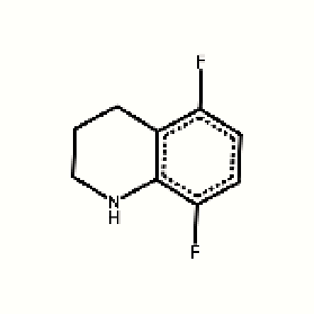 Fc1ccc(F)c2c1CCCN2